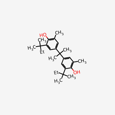 CCC(C)(C)c1cc(C(C)(C)c2cc(C)c(O)c(C(C)(C)CC)c2)cc(C)c1O